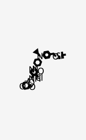 CC(C)(C)[Si](C)(C)OCc1ccc(N(C2CC2)[C@H]2CC[C@H](n3ncc(NC[C@@H]4COCCS4(=O)=O)c(Cl)c3=O)CC2)cc1